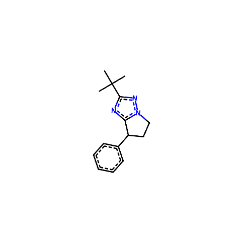 CC(C)(C)c1nc2n(n1)CCC2c1ccccc1